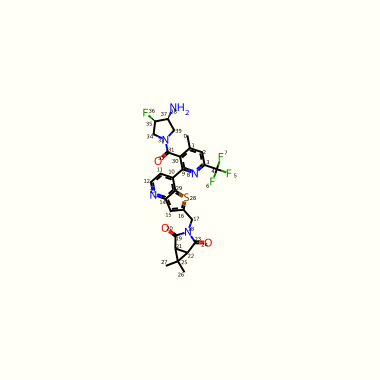 Cc1cc(C(F)(F)F)nc(-c2ccnc3cc(CN4C(=O)C5C(C4=O)C5(C)C)sc23)c1C(=O)N1C[C@@H](F)[C@@H](N)C1